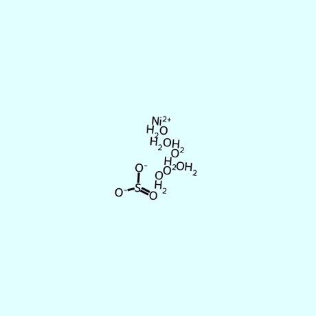 O.O.O.O.O.O.O=S([O-])[O-].[Ni+2]